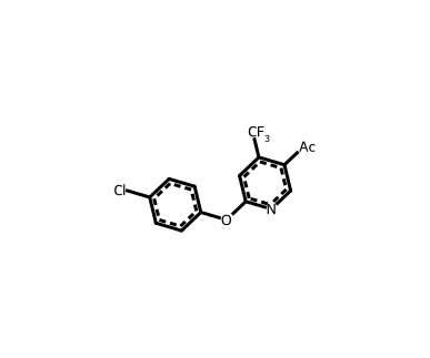 CC(=O)c1cnc(Oc2ccc(Cl)cc2)cc1C(F)(F)F